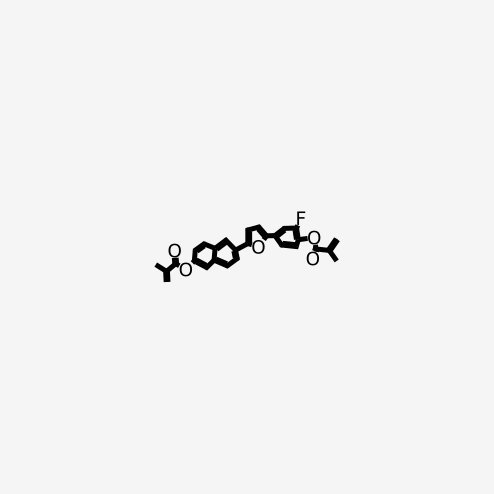 C=C(C)C(=O)Oc1ccc2cc(-c3ccc(-c4ccc(OC(=O)C(=C)C)c(F)c4)o3)ccc2c1